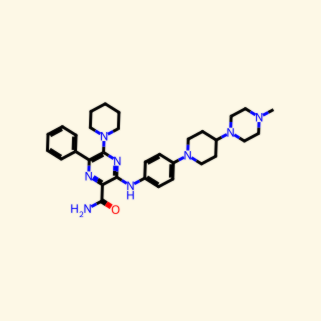 CN1CCN(C2CCN(c3ccc(Nc4nc(N5CCCCC5)c(-c5ccccc5)nc4C(N)=O)cc3)CC2)CC1